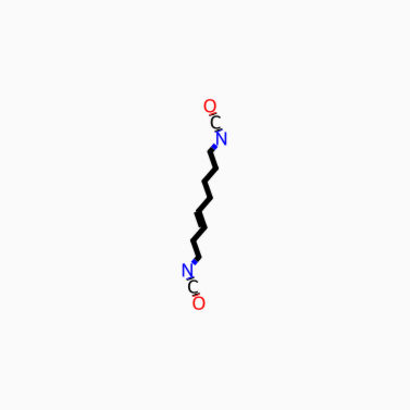 O=C=NCCC=CCCCCN=C=O